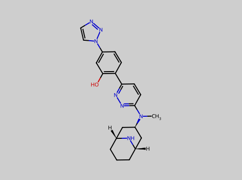 CN(c1ccc(-c2ccc(-n3ccnn3)cc2O)nn1)[C@@H]1C[C@H]2CCC[C@@H](C1)N2